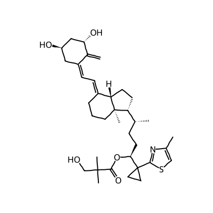 C=C1/C(=C\C=C2/CCC[C@]3(C)[C@@H]([C@H](C)CC[C@H](OC(=O)C(C)(C)CO)C4(c5nc(C)cs5)CC4)CC[C@@H]23)C[C@@H](O)C[C@@H]1O